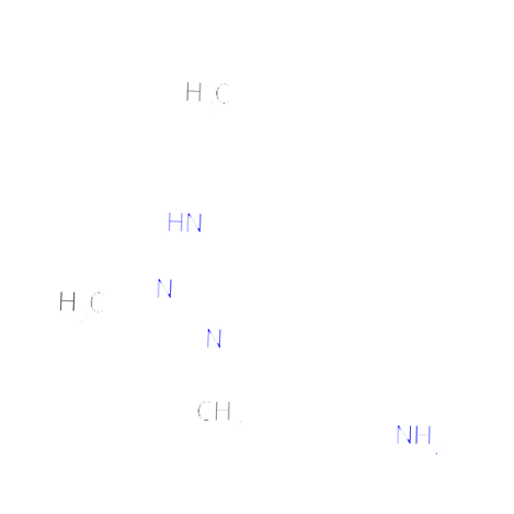 Cc1ccccc1C1=C(CCN)N(C)N(C)N1